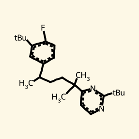 CC(CCC(C)(C)c1ccnc(C(C)(C)C)n1)c1ccc(F)c(C(C)(C)C)c1